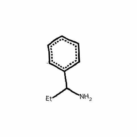 CCC(N)c1[c]cccc1